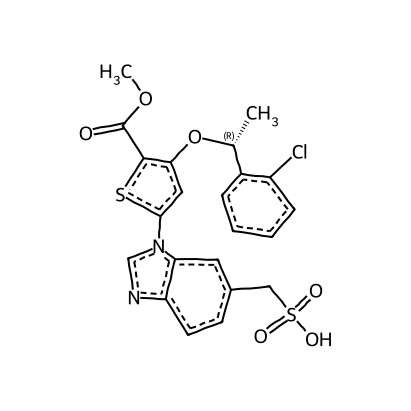 COC(=O)c1sc(-n2cnc3ccc(CS(=O)(=O)O)cc32)cc1O[C@H](C)c1ccccc1Cl